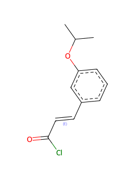 CC(C)Oc1cccc(/C=C/C(=O)Cl)c1